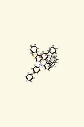 c1ccc(-c2ccc(N(c3ccc4c(c3)sc3ccccc34)c3ccccc3-c3cccc4c3C3(c5ccccc5-4)C4CC5CC(C4)CC3C5)cc2)cc1